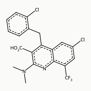 CN(C)c1nc2c(C(F)(F)F)cc(Cl)cc2c(Cc2ccccc2Cl)c1C(=O)O